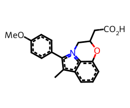 COc1ccc(-c2c(C)c3cccc4c3n2CC(CC(=O)O)O4)cc1